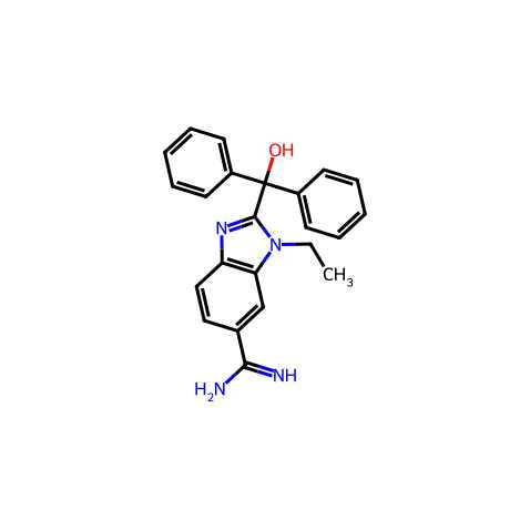 CCn1c(C(O)(c2ccccc2)c2ccccc2)nc2ccc(C(=N)N)cc21